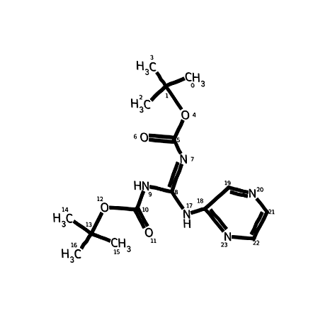 CC(C)(C)OC(=O)N=C(NC(=O)OC(C)(C)C)Nc1cnccn1